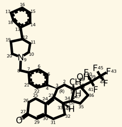 C[C@]12C[C@H](c3ccc(CN4CCC(c5ccccc5)CC4)cc3)C3=C4CCC(=O)C=C4CC[C@H]3[C@@H]1CC[C@]2(O)C(F)(F)C(F)(F)F